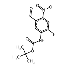 CC(C)(C)OC(=O)Nc1cc(C=O)c([N+](=O)[O-])cc1F